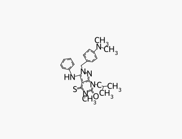 CC(C)Cn1c(=O)n(C)c(=S)c2c(Nc3ccccc3)n(Cc3ccc(N(C)C)cc3)nc21